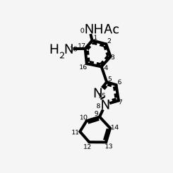 CC(=O)Nc1ccc(-c2ccn(C3=CCCC=C3)n2)cc1N